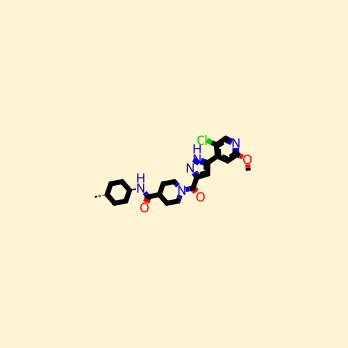 COc1cc(-c2cc(C(=O)N3CCC(C(=O)N[C@H]4CC[C@@H](C)CC4)CC3)n[nH]2)c(Cl)cn1